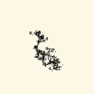 CCCCCCC(=O)N[C@@H](CCCNC(=N)N)C(=O)C[C@@H](CNC(=N)N)C(=O)N(CCCn1cc(CCCC(=O)NCC2OC(OC3C(N)CC(N)C(O)C3O)C(N)C(O)C2O)nn1)CC(=O)N(CCC)CC(=O)N(CCCn1cc(CCCC(=O)NCC2OC(OC3C(N)CC(N)C(O)C3O)C(N)C(O)C2O)nn1)CC(N)=O